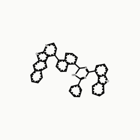 c1ccc(C2=NC(c3cccc4oc5ccccc5c34)=NC(c3cccc4c(-c5ccnc6oc7cc8ccccc8cc7c56)cccc34)N2)cc1